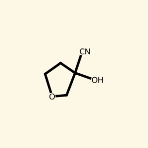 N#CC1(O)CCOC1